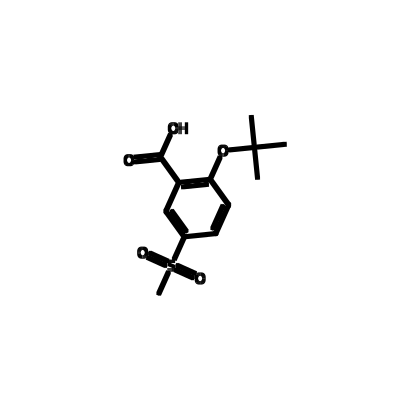 CC(C)(C)Oc1ccc(S(C)(=O)=O)cc1C(=O)O